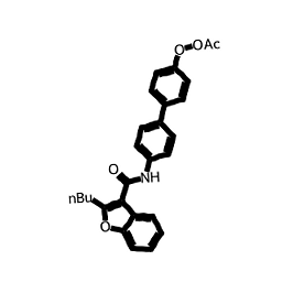 CCCCc1oc2ccccc2c1C(=O)Nc1ccc(-c2ccc(OOC(C)=O)cc2)cc1